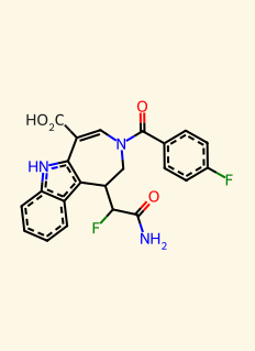 NC(=O)C(F)C1CN(C(=O)c2ccc(F)cc2)C=C(C(=O)O)c2[nH]c3ccccc3c21